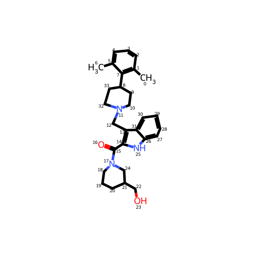 Cc1cccc(C)c1C1CCN(Cc2c(C(=O)N3CCCC(CO)C3)[nH]c3ccccc23)CC1